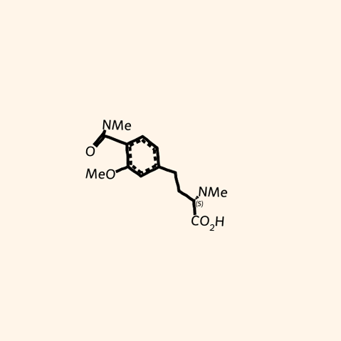 CNC(=O)c1ccc(CC[C@H](NC)C(=O)O)cc1OC